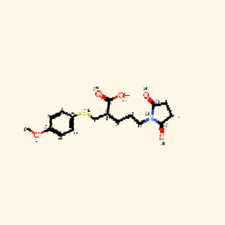 COc1ccc(SCC(CCCN2C(=O)CCC2=O)C(=O)O)cc1